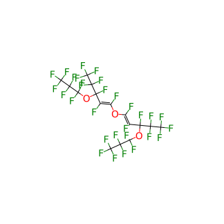 FC(OC(F)=C(F)C(F)(OC(F)(F)C(F)(F)C(F)(F)F)C(F)(F)C(F)(F)F)=C(F)C(F)(OC(F)(F)C(F)(F)C(F)(F)F)C(F)(F)C(F)(F)F